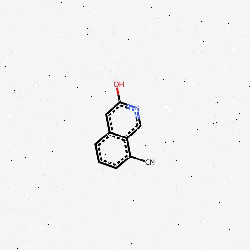 N#Cc1cccc2cc(O)ncc12